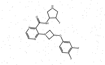 O=C(NC1CNCC1F)c1nccnc1N1CC(Oc2ccc(F)c(F)c2)C1